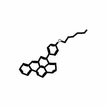 CCCCCCOc1ccc(-c2cc3cc4ccccc4c4ccc5cccc2c5c34)cc1